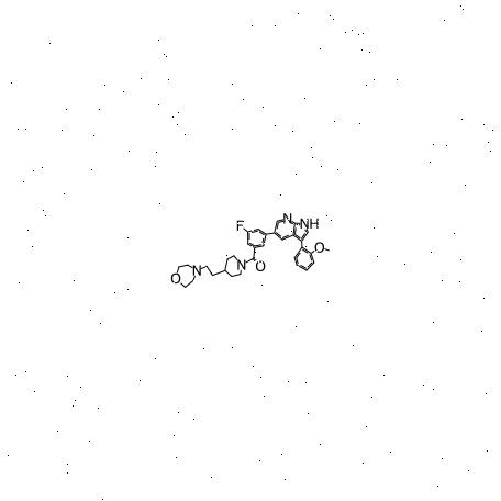 COc1ccccc1-c1c[nH]c2ncc(-c3cc(F)cc(C(=O)N4CCC(CCN5CCOCC5)CC4)c3)cc12